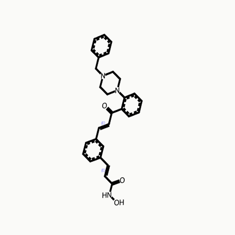 O=C(/C=C/c1cccc(/C=C/C(=O)c2ccccc2N2CCN(Cc3ccccc3)CC2)c1)NO